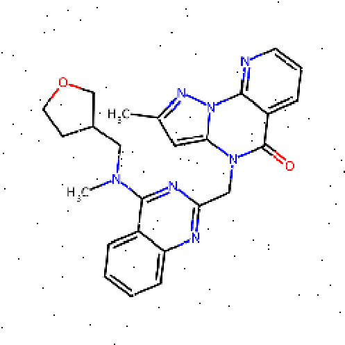 Cc1cc2n(Cc3nc(N(C)CC4CCOC4)c4ccccc4n3)c(=O)c3cccnc3n2n1